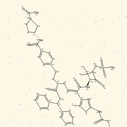 Cc1sc(NC(=O)OC(C)(C)C)nc1/C(=N/OC(COc1ccc(C(=N)N[C@@H]2CCN(C(=O)O)C2)cc1)C(=O)OC(c1ccccc1)c1ccccc1)C(=O)N[C@@H]1C(=O)N(OS(=O)(=O)O)C1(C)C